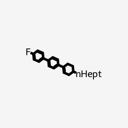 CCCCCCCC1CC=C(c2ccc(-c3ccc(F)cc3)cc2)CC1